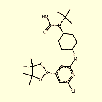 CC(C)(C)N(C(=O)O)[C@H]1CC[C@H](Nc2cc(B3OC(C)(C)C(C)(C)O3)cc(Cl)n2)CC1